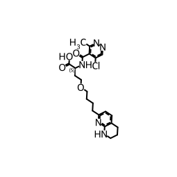 Cc1nncc(Cl)c1C(=O)N[C@@H](CCOCCCCc1ccc2c(n1)NCCC2)C(=O)O